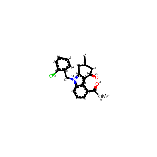 COC(=O)c1cccc2c1c1c(n2Cc2ccccc2Cl)CC(C)CC1=O